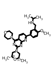 COc1ccc(-c2ccc3c(N4CCOCC4)nc(N4C[C@@H](C)O[C@@H](C)C4)nc3n2)cc1CNC(C)C